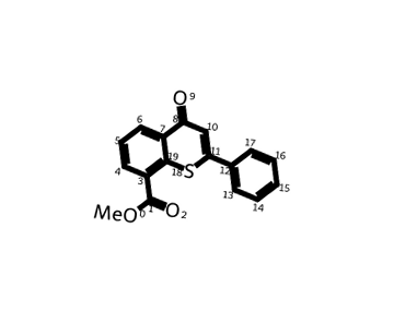 COC(=O)c1cccc2c(=O)cc(-c3ccccc3)sc12